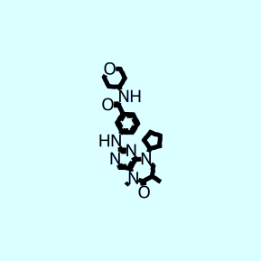 CC1CN(C2CCCC2)c2nc(Nc3cccc(C(=O)NC4CCOCC4)c3)ncc2N(C)C1=O